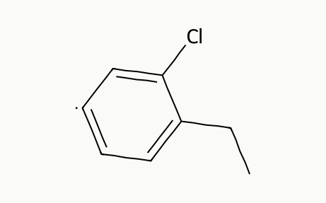 CCc1cc[c]cc1Cl